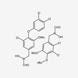 CCCCOc1c(OC)cc(CN(O)C=O)c(Cl)c1Cl.COc1cc(CN(O)C=O)cc(Cl)c1Oc1ccc(Cl)c(Cl)c1